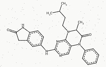 CC(C)CCN1c2nc(Nc3ccc4c(c3)CC(=O)N4)ncc2N(c2ccccc2)C(=O)C1C